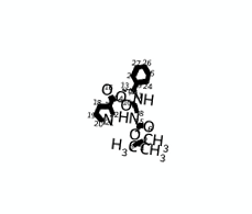 CC(C)(C)OC(=O)NCC(=O)N[C@H](COC(=O)c1cccnc1)c1ccccc1